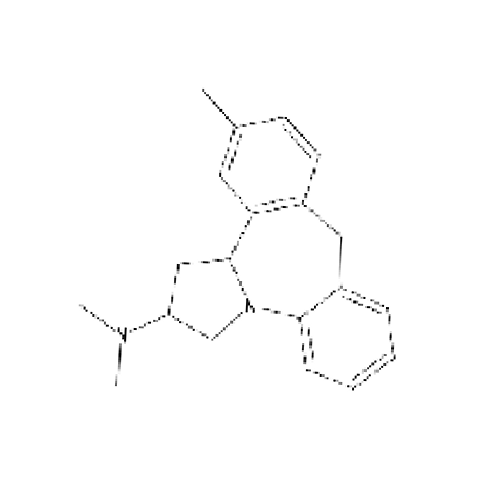 Cc1ccc2c(c1)C1CC(N(C)C)CN1c1ccccc1C2